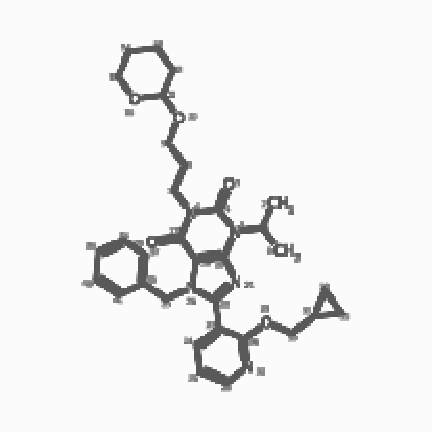 CC(C)n1c(=O)n(CCCOC2CCCCO2)c(=O)c2c1nc(-c1cccnc1OCC1CC1)n2Cc1ccccc1